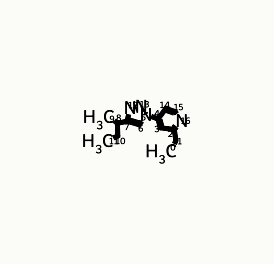 CCc1cc(-n2cc(C(C)CC)nn2)ccn1